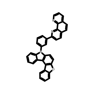 c1cc(-c2ccc3ccc4cccnc4c3n2)cc(-n2c3ccccc3c3c4c(ccc32)oc2ccccc24)c1